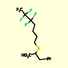 CC(C)CC(SCCCCC(F)(F)C(F)(F)C(F)(F)F)C(=O)O